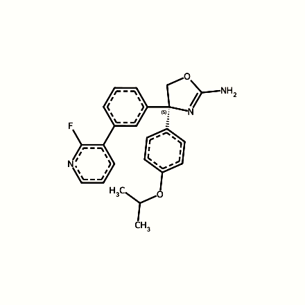 CC(C)Oc1ccc([C@]2(c3cccc(-c4cccnc4F)c3)COC(N)=N2)cc1